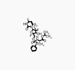 CC(C)OC(=O)[C@H](C)NP(=O)(OC[C@@]1(F)O[C@@H](n2ccc(=S)[nH]c2=O)[C@](C)(F)C1O)Oc1ccccc1